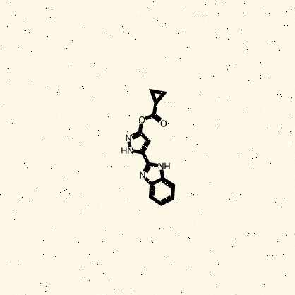 O=C(Oc1cc(-c2nc3ccccc3[nH]2)[nH]n1)C1CC1